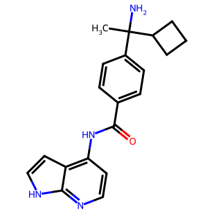 CC(N)(c1ccc(C(=O)Nc2ccnc3[nH]ccc23)cc1)C1CCC1